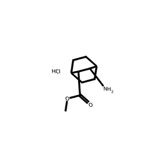 COC(=O)C1C2CCC(CC2)C1N.Cl